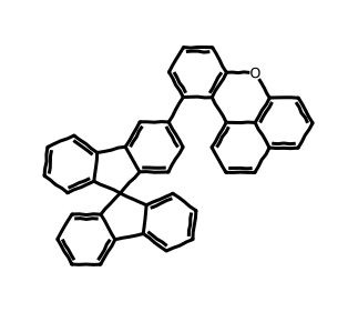 c1ccc2c(c1)-c1ccccc1C21c2ccccc2-c2cc(-c3cccc4c3-c3cccc5cccc(c35)O4)ccc21